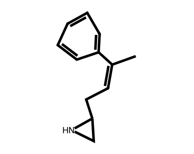 C/C(=C/CC1CN1)c1ccccc1